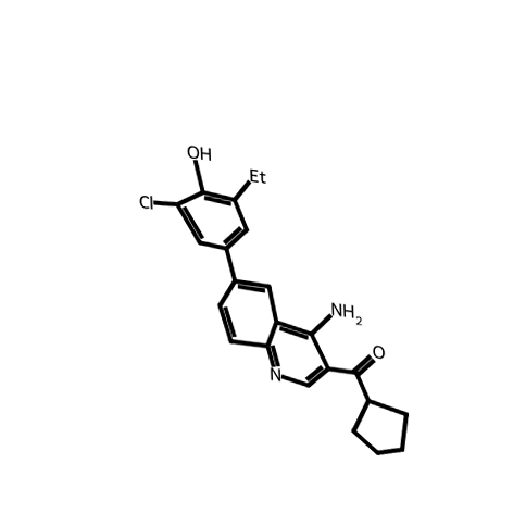 CCc1cc(-c2ccc3ncc(C(=O)C4CCCC4)c(N)c3c2)cc(Cl)c1O